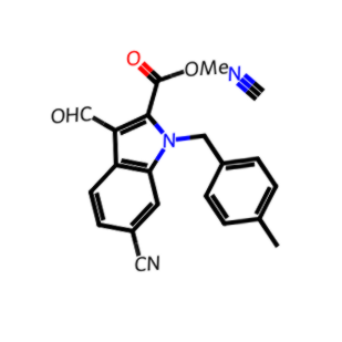 C#N.COC(=O)c1c(C=O)c2ccc(C#N)cc2n1Cc1ccc(C)cc1